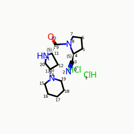 Cl.Cl.N#C[C@@H]1CCCN1C(=O)[C@@H]1C[C@H](N2CCCCC2)CN1